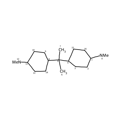 CNC1CCC(C(C)(C)C2CCC(NC)CC2)CC1